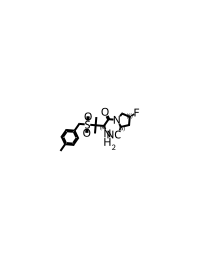 Cc1ccc(CS(=O)(=O)C(C)(C)[C@H](N)C(=O)N2C[C@@H](F)C[C@H]2C#N)cc1